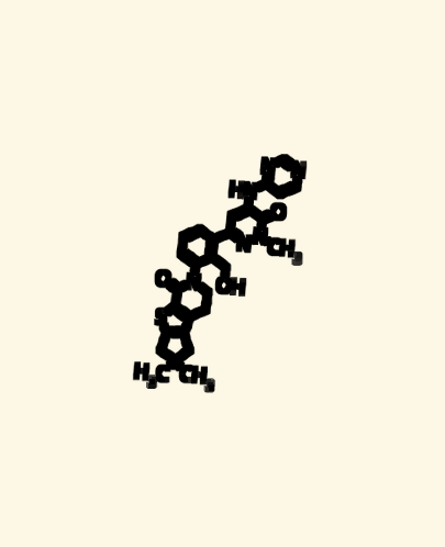 Cn1nc(-c2cccc(N3CCc4c(sc5c4CC(C)(C)C5)C3=O)c2CO)cc(Nc2ccncn2)c1=O